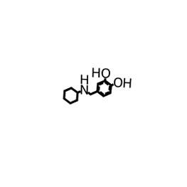 Oc1ccc(CNC2CCCCC2)cc1O